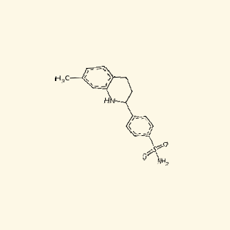 Cc1ccc2c(c1)NC(c1ccc(S(N)(=O)=O)cc1)CC2